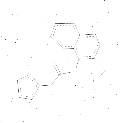 O=C(Cc1cccs1)Oc1c(CO)ccc2ccccc12